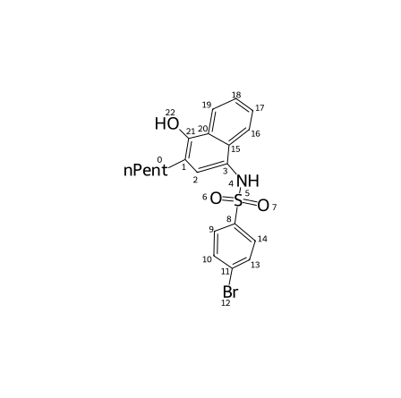 CCCCCc1cc(NS(=O)(=O)c2ccc(Br)cc2)c2ccccc2c1O